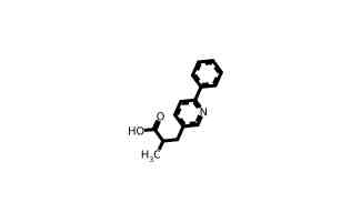 CC(Cc1ccc(-c2ccccc2)nc1)C(=O)O